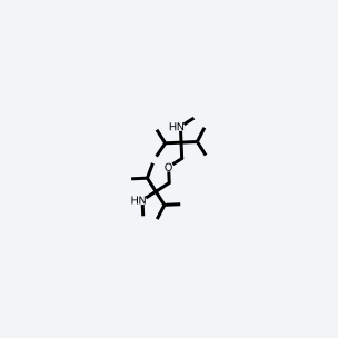 CNC(COCC(NC)(C(C)C)C(C)C)(C(C)C)C(C)C